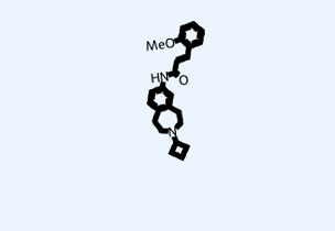 COc1ccccc1/C=C/C(=O)Nc1ccc2c(c1)CCN(C1CCC1)CC2